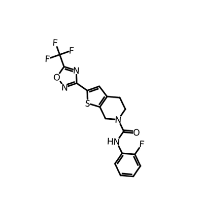 O=C(Nc1ccccc1F)N1CCc2cc(-c3noc(C(F)(F)F)n3)sc2C1